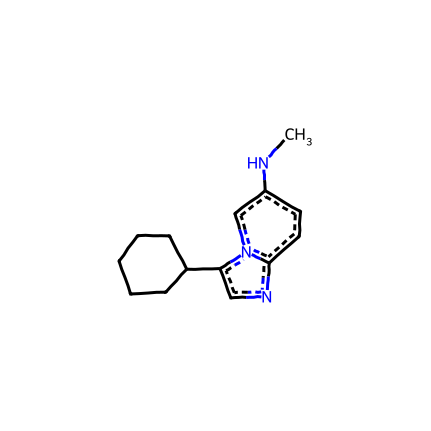 CNc1ccc2ncc(C3CCCCC3)n2c1